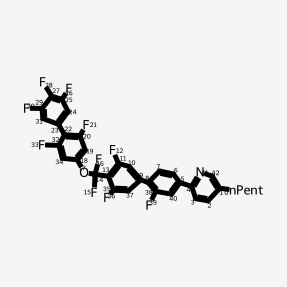 CCCCCc1ccc(-c2ccc(-c3cc(F)c(C(F)(F)Oc4cc(F)c(-c5cc(F)c(F)c(F)c5)c(F)c4)c(F)c3)c(F)c2)nc1